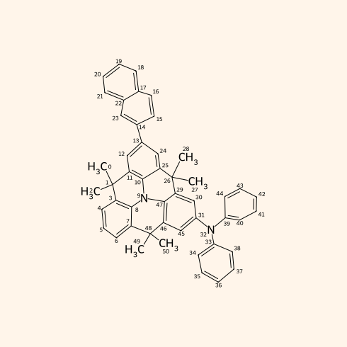 CC1(C)c2cccc3c2N2c4c1cc(-c1ccc5ccccc5c1)cc4C(C)(C)c1cc(N(c4ccccc4)c4ccccc4)cc(c12)C3(C)C